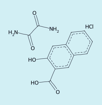 Cl.NC(=O)C(N)=O.O=C(O)c1cc2ccccc2cc1O